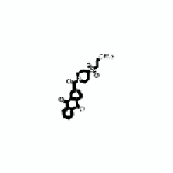 COCCS(=O)(=O)C1CCN(C(=O)c2ccc3c(c2)C(=O)c2ccccc2C3=O)CC1